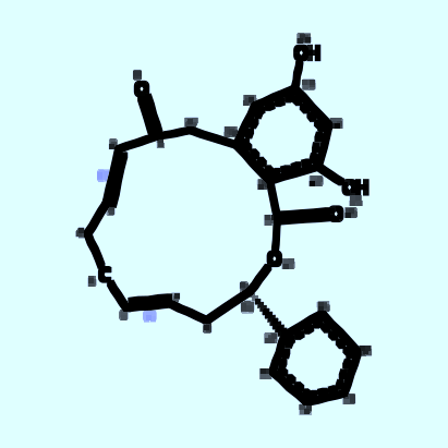 O=C1/C=C/CC/C=C/C[C@@H](c2ccccc2)OC(=O)c2c(O)cc(O)cc2C1